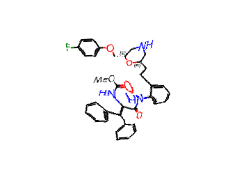 COC(=O)NC(C(=O)Nc1ccccc1CC[C@@H]1CNC[C@@H](COc2ccc(F)cc2)O1)C(c1ccccc1)c1ccccc1